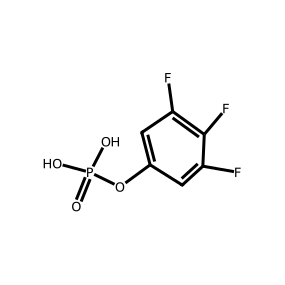 O=P(O)(O)Oc1cc(F)c(F)c(F)c1